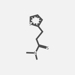 CN(C)C(=S)CCc1cccs1